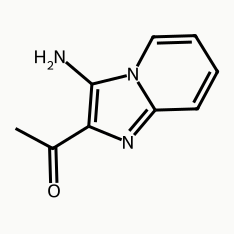 CC(=O)c1nc2ccccn2c1N